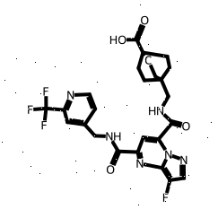 O=C(NCc1ccnc(C(F)(F)F)c1)c1cc(C(=O)NCC23CCC(C(=O)O)(CC2)CC3)n2ncc(F)c2n1